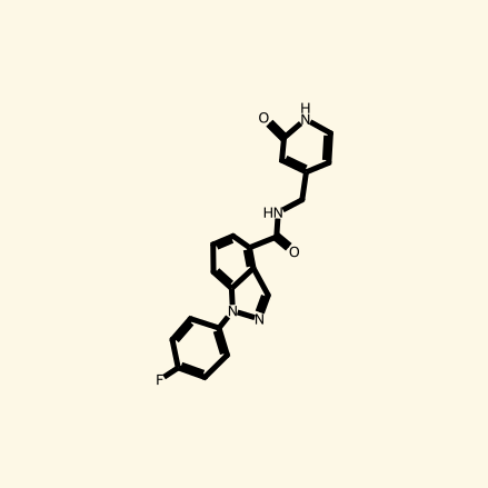 O=C(NCc1cc[nH]c(=O)c1)c1cccc2c1cnn2-c1ccc(F)cc1